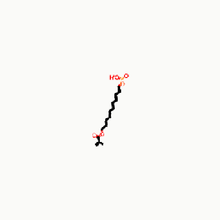 C=C(C)C(=O)OCCCCCCCCCCCO[PH](=O)O